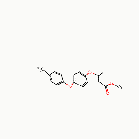 CC(C)OC(=O)CC(C)Oc1ccc(Oc2ccc(C(F)(F)F)cc2)cc1